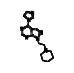 c1cn(-c2ncnc3c2cnn3CCN2CCCCC2)cn1